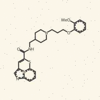 COc1ccccc1OCCCN1CCC(CNC(=O)C2=Cc3cnc4cccc(n34)S2)CC1